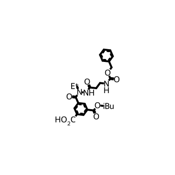 CCC(C)OC(=O)c1cc(C(=O)O)cc(C(=O)N(CC)NC(=O)CCNC(=O)OCc2ccccc2)c1